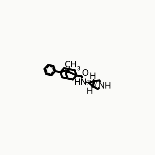 CC12CC3CC(C(=O)N[C@H]4[C@@H]5CNC[C@@H]54)(C1)CC(c1ccccc1)(C3)C2